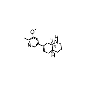 COc1cc(C2=CC[C@H]3CCCN[C@H]3C2)cnc1C